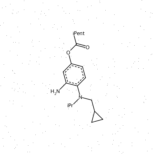 CCCC(C)C(=O)Oc1ccc(N(CC2CC2)C(C)C)c(N)c1